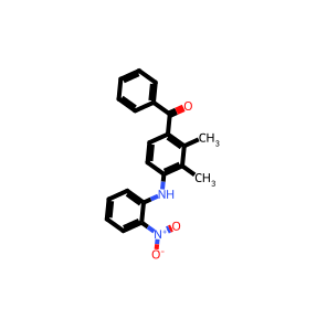 Cc1c(Nc2ccccc2[N+](=O)[O-])ccc(C(=O)c2ccccc2)c1C